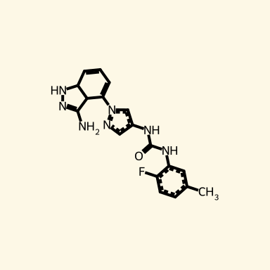 Cc1ccc(F)c(NC(=O)Nc2cnn(C3=CC=CC4NN=C(N)C34)c2)c1